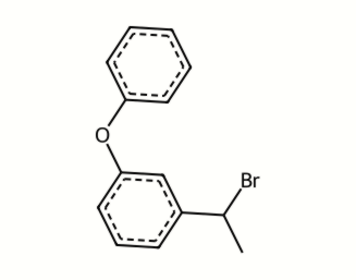 CC(Br)c1cccc(Oc2ccccc2)c1